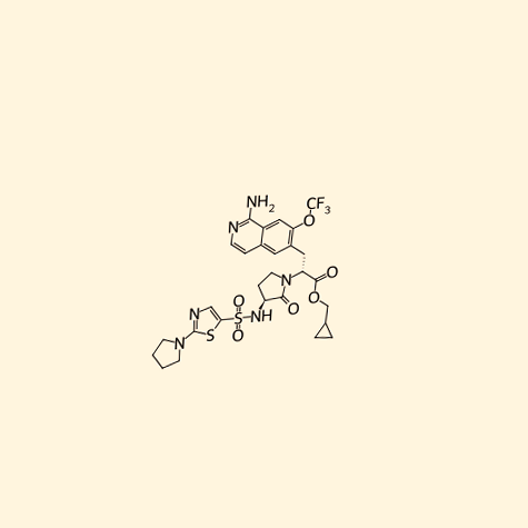 Nc1nccc2cc(C[C@H](C(=O)OCC3CC3)N3CC[C@H](NS(=O)(=O)c4cnc(N5CCCC5)s4)C3=O)c(OC(F)(F)F)cc12